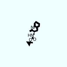 C=C(N)[C@H](CNC(=O)OC1(C)CC1)Cc1ccccc1